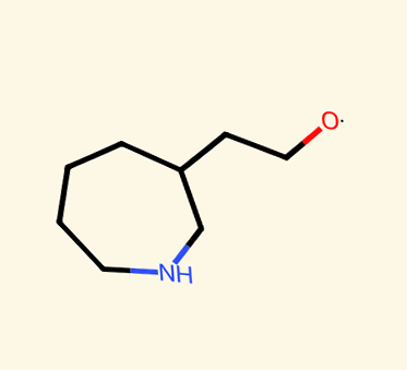 [O]CCC1CCCCNC1